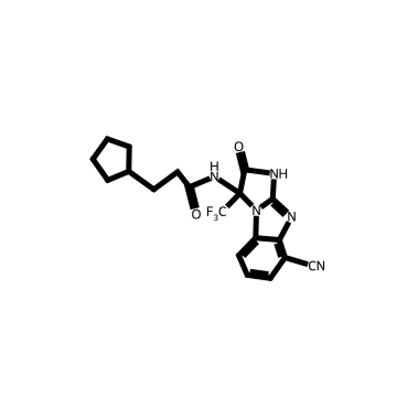 N#Cc1cccc2c1nc1n2C(NC(=O)CCC2CCCC2)(C(F)(F)F)C(=O)N1